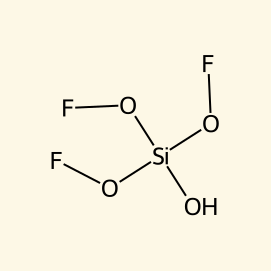 O[Si](OF)(OF)OF